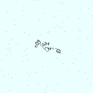 COc1ccc2nccc(CCC[C@@H]3CCN(CCCc4ccncc4)C[C@@H]3C(=O)O)c2c1